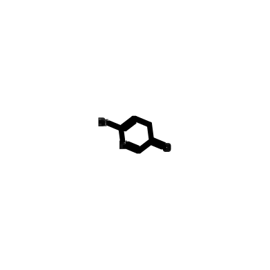 O=C1C=NC(Br)=CC1